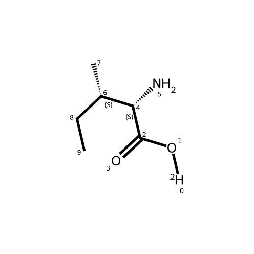 [2H]OC(=O)[C@@H](N)[C@@H](C)CC